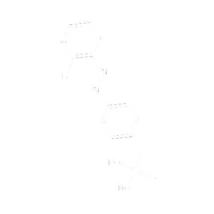 O=P(O)(O)Oc1ccc(N=Nc2ccccc2S)cc1